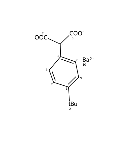 CC(C)(C)c1ccc(C(C(=O)[O-])C(=O)[O-])cc1.[Ba+2]